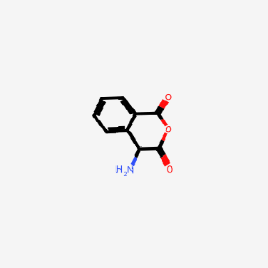 NC1C(=O)OC(=O)c2ccccc21